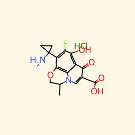 CC1COc2c(C3(N)CC3)c(F)c(O)c3c(=O)c(C(=O)O)cn1c23.Cl